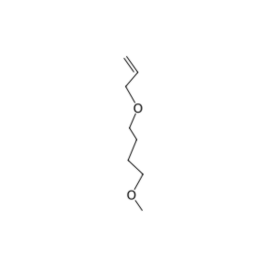 C=CCOCCCCOC